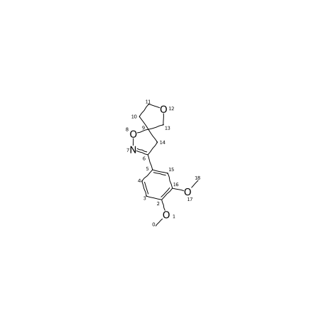 COc1ccc(C2=NOC3(CCOC3)C2)cc1OC